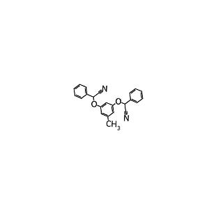 Cc1cc(OC(C#N)c2ccccc2)cc(OC(C#N)c2ccccc2)c1